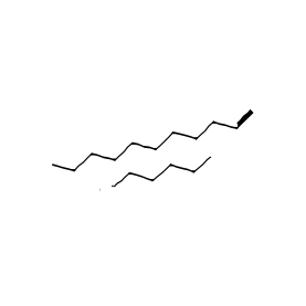 C=CCCCCCCCCC.CCCCCCl